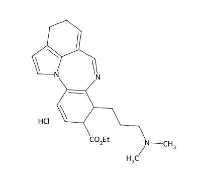 CCOC(=O)C1C=CC2=C(N=CC3=CCCc4ccn2c43)C1CCCN(C)C.Cl